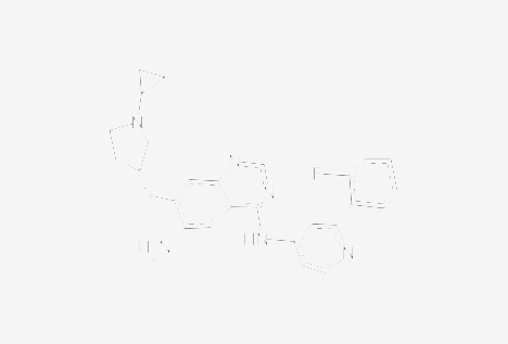 Nc1cc2c(Nc3ccnc(-c4ccccc4F)c3)ncnc2cc1O[C@@H]1CCN(C2CC2)C1